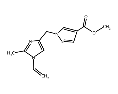 C=Cn1cc(Cn2cc(C(=O)OC)cn2)nc1C